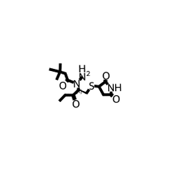 CCC(=O)[C@H](CSC1CC(=O)NC1=O)N(N)C(=O)CC(C)(C)C